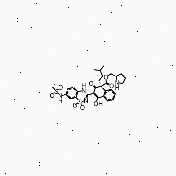 CC(C)CC[C@@]1(C(=O)OC[C@H]2CCCN2)C(=O)C(C2=NS(=O)(=O)c3cc(NS(C)(=O)=O)ccc3N2)=C(O)c2ccccc21